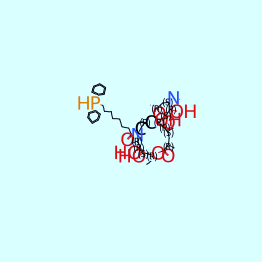 CC[C@H]1OC(=O)[C@H](C)C[C@H](C)[C@@H](O[C@@H]2O[C@H](C)C[C@H](N(C)C)[C@H]2O)[C@](C)(O)C[C@@H](C)CN(C(=O)CCCCCCC[PH](C)(c2ccccc2)c2ccccc2)[C@H](C)[C@@H](O)[C@]1(C)O